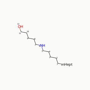 CCCCCCCCCCCCNCCCCCO